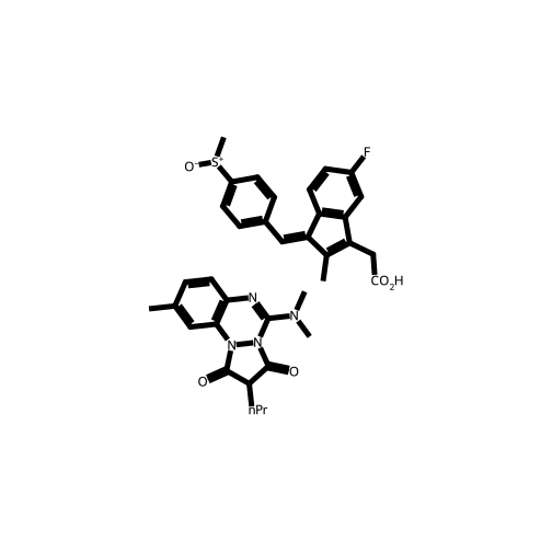 CC1=C(CC(=O)O)c2cc(F)ccc2/C1=C\c1ccc([S+](C)[O-])cc1.CCCC1C(=O)N2C(N(C)C)=Nc3ccc(C)cc3N2C1=O